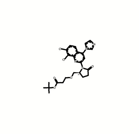 CC(C)(C)OC(=O)CCOC[C@@H]1CCC(=O)N1c1cc(-n2ccnc2)c2ccc(Cl)c(Cl)c2n1